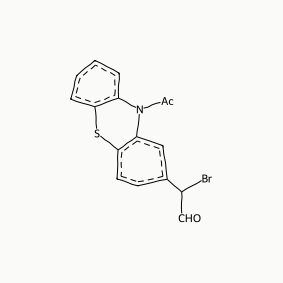 CC(=O)N1c2ccccc2Sc2ccc(C(Br)C=O)cc21